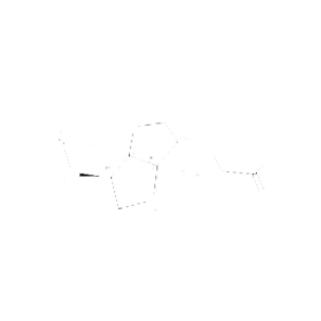 O=C(Cl)CO[C@H]1CO[C@H]2[C@@H]1OC[C@H]2O[N+](=O)[O-]